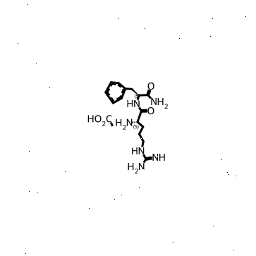 CC(=O)O.N=C(N)NCCC[C@H](N)C(=O)N[C@@H](Cc1ccccc1)C(N)=O